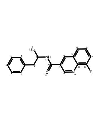 CC(C)(C)C(Cc1ccccc1)NC(=O)c1cnc2c(F)cccc2c1